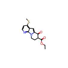 CCOC(=O)C1CCn2c(cc3c(SC)ccnc32)C1=O